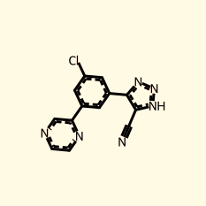 N#Cc1[nH]nnc1-c1cc(Cl)cc(-c2cnccn2)c1